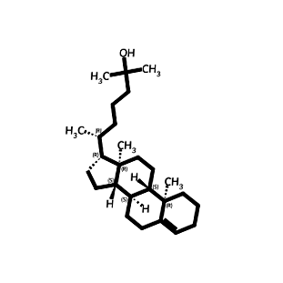 C[C@H](CCCC(C)(C)O)[C@H]1CC[C@H]2[C@@H]3CCC4=CCCC[C@]4(C)[C@H]3CC[C@]12C